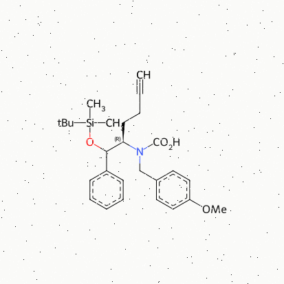 C#CCC[C@H](C(O[Si](C)(C)C(C)(C)C)c1ccccc1)N(Cc1ccc(OC)cc1)C(=O)O